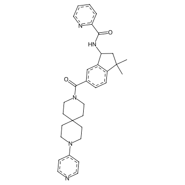 CC1(C)CC(NC(=O)c2ccccn2)c2cc(C(=O)N3CCC4(CC3)CCN(c3ccncc3)CC4)ccc21